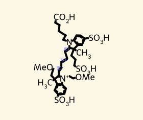 COCC[N+]1=C(/C=C/C=C/C=C2/N(CCCCCC(=O)O)c3ccc(S(=O)(=O)O)cc3C2(C)CCCS(=O)(=O)O)C(C)(CCOC)c2cc(S(=O)(=O)O)ccc21